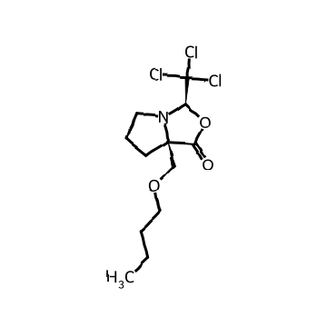 CCCCOC[C@@]12CCCN1[C@@H](C(Cl)(Cl)Cl)OC2=O